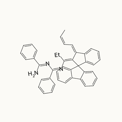 C\C=C/C=C1\C(=C(CC)\N=C(/N=C(\N)c2ccccc2)c2ccccc2)C2(c3ccccc31)c1ccccc1-c1ccccc12